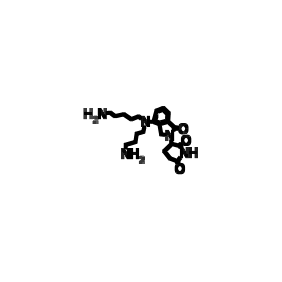 NCCCCCN(CCCCN)c1cccc2c1CN(C1CCC(=O)NC1=O)C2=O